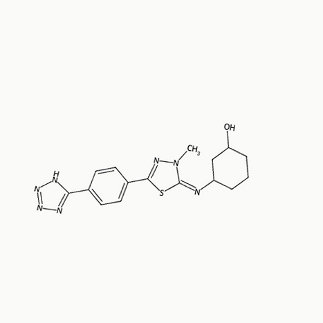 Cn1nc(-c2ccc(-c3nnn[nH]3)cc2)s/c1=N/C1CCCC(O)C1